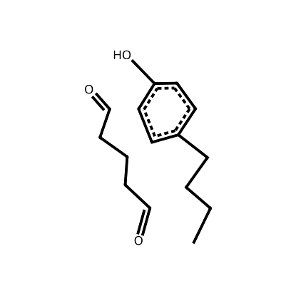 CCCCc1ccc(O)cc1.O=CCCCC=O